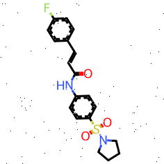 O=C(C=Cc1ccc(F)cc1)Nc1ccc(S(=O)(=O)N2CCCC2)cc1